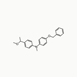 COC(C)c1ccc(N(C)c2ccc(OCc3ccccc3)cc2)cc1